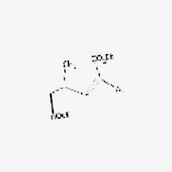 CCCCCCCCCC(C)C=C(C(C)=O)C(=O)OCC